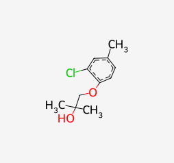 Cc1ccc(OCC(C)(C)O)c(Cl)c1